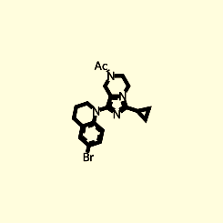 CC(=O)N1CCn2c(C3CC3)nc(N3CCCc4cc(Br)ccc43)c2C1